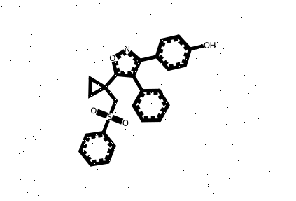 O=S(=O)(CC1(c2onc(-c3ccc(O)cc3)c2-c2ccccc2)CC1)c1ccccc1